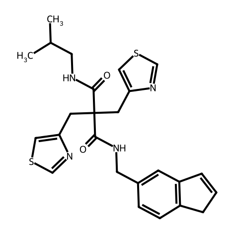 CC(C)CNC(=O)C(Cc1cscn1)(Cc1cscn1)C(=O)NCc1ccc2c(c1)C=CC2